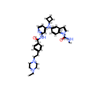 CCN1CCN(CCc2ccc(C(=O)Nc3cc(N(c4ccc5c(ccn5C(=O)NC)c4)C4CCC4)ccn3)cc2)CC1